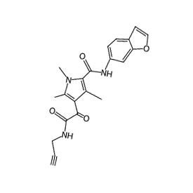 C#CCNC(=O)C(=O)c1c(C)c(C(=O)Nc2ccc3ccoc3c2)n(C)c1C